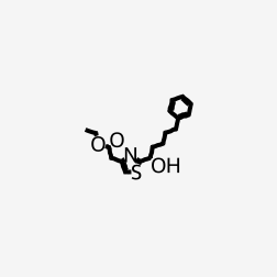 CCOC(=O)Cc1csc(C(O)CCCCc2ccccc2)n1